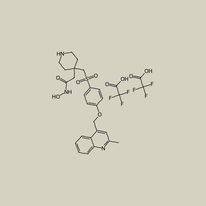 Cc1cc(COc2ccc(S(=O)(=O)CC3(CC(=O)NO)CCNCC3)cc2)c2ccccc2n1.O=C(O)C(F)(F)F.O=C(O)C(F)(F)F